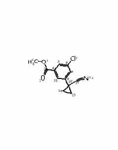 COC(=O)c1cc(Cl)cc(C2(C#N)CC2)c1